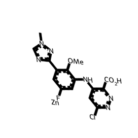 COc1c(Nc2cc(Cl)nnc2C(=O)O)cc(F)cc1-c1ncn(C)n1.[Zn]